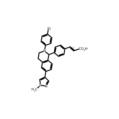 CCc1ccc(N2CCc3cc(-c4cnn(C)c4)ccc3C2c2ccc(/C=C/C(=O)O)cc2)cc1